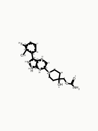 NC(=O)OCC1(O)CCN(c2cnc3c(-c4cccc(F)c4Cl)n[nH]c3n2)CC1